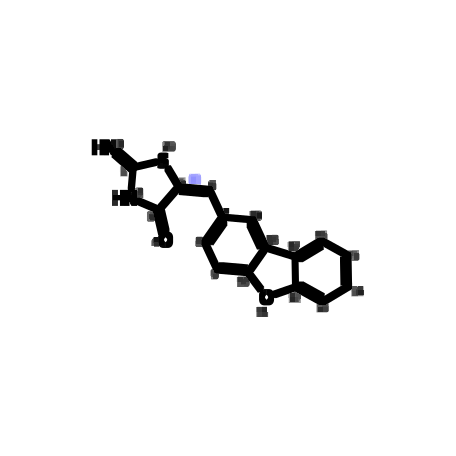 N=C1NC(=O)/C(=C\c2ccc3oc4ccccc4c3c2)S1